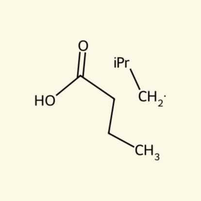 CCCC(=O)O.[CH2]C(C)C